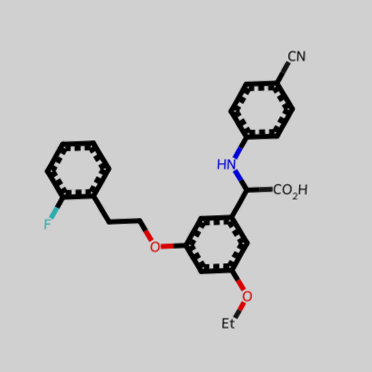 CCOc1cc(OCCc2ccccc2F)cc(C(Nc2ccc(C#N)cc2)C(=O)O)c1